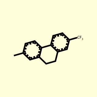 Cc1ccc2c(c1)CCc1cc(C(F)(F)F)ccc1-2